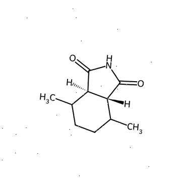 CC1CCC(C)[C@H]2C(=O)NC(=O)[C@H]12